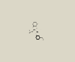 CC(C)Cc1cccc(NC(=O)N(C)[C@@H](CC2CCCCC2)CN(C)C)c1